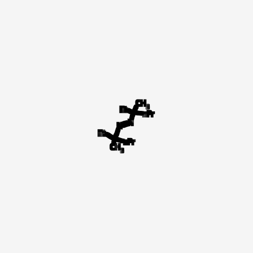 CCCC(C)(CC)N=NC(C)(CC)CCC